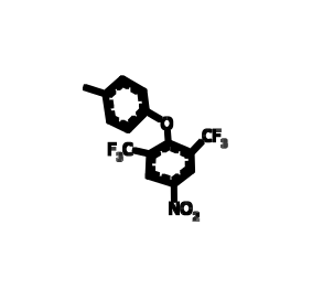 Cc1ccc(Oc2c(C(F)(F)F)cc([N+](=O)[O-])cc2C(F)(F)F)cc1